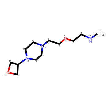 CNCCOCCN1CCN(C2COC2)CC1